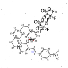 CN(C)c1ccc(/C=C/c2cc[n+]3c(c2)-c2c(ccc4c2-c2c5ccccc5cc[n+]2CC4)CC3)cc1.O=S(=O)([O-])C(F)(F)F.O=S(=O)([O-])C(F)(F)F